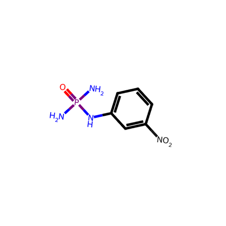 NP(N)(=O)Nc1cccc([N+](=O)[O-])c1